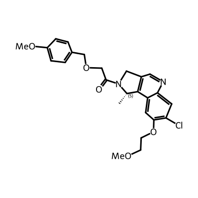 COCCOc1cc2c3c(cnc2cc1Cl)CN(C(=O)COCc1ccc(OC)cc1)[C@H]3C